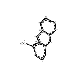 CCCCCCCCc1cc[c]c2cc3ccccc3cc12